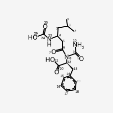 CC(C)CC(CC(=O)N(C(N)=O)[C@@H](Cc1ccccc1)C(=O)O)NC(=O)O